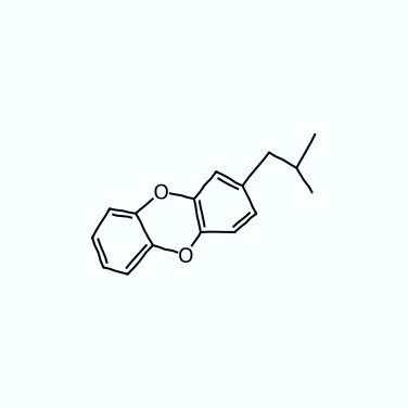 CC(C)Cc1ccc2c(c1)Oc1ccccc1O2